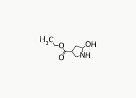 CCOC(=O)C1CNC(O)C1